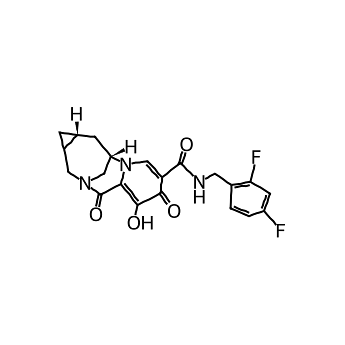 O=C(NCc1ccc(F)cc1F)c1cn2c(c(O)c1=O)C(=O)N1CC3C[C@@H]3C[C@H]2C1